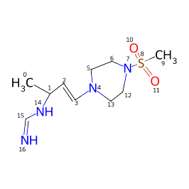 CC(/C=C/N1CCN(S(C)(=O)=O)CC1)NC=N